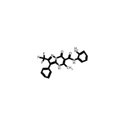 Cc1[nH]c2c(-c3ccccc3)c(C(F)(F)F)nn2c(=O)c1C(=O)Nc1ccccc1N